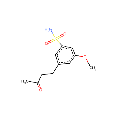 COc1cc(CCC(C)=O)cc(S(N)(=O)=O)c1